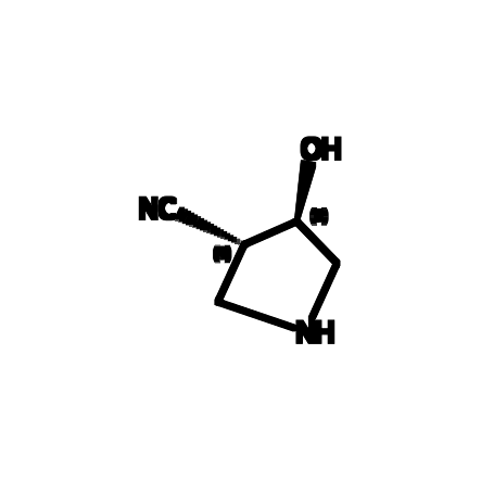 N#C[C@H]1CNC[C@@H]1O